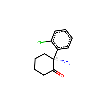 N[C@@]1(c2ccccc2Cl)CCCCC1=O